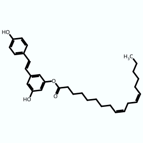 CCCCC/C=C\C/C=C\CCCCCCCC(=O)Oc1cc(O)cc(C=Cc2ccc(O)cc2)c1